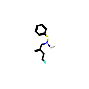 C=C(CCF)CN(CCC)Sc1ccccc1